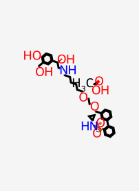 CC(=O)O.O=S(=O)(NC1CC1)c1ccccc1-c1cccc(COCCOCCCCCCNC[C@H](O)c2ccc(O)c(CO)c2)c1